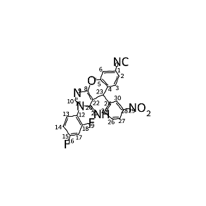 [C-]#[N+]c1ccc2c(c1)Oc1ncn(-c3ccc(F)cc3F)c(=N)c1C2c1cccc([N+](=O)[O-])c1